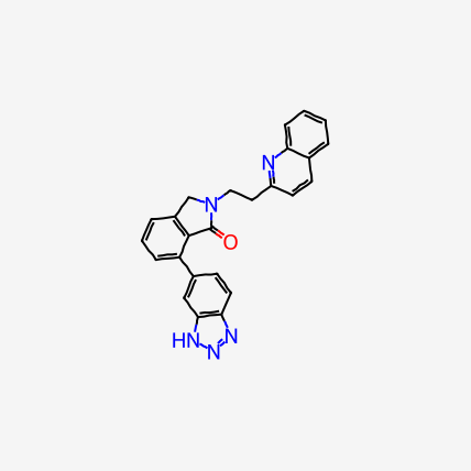 O=C1c2c(cccc2-c2ccc3nn[nH]c3c2)CN1CCc1ccc2ccccc2n1